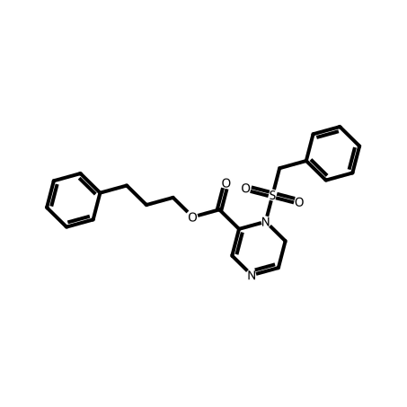 O=C(OCCCc1ccccc1)C1=CN=CCN1S(=O)(=O)Cc1ccccc1